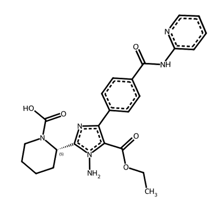 CCOC(=O)c1c(-c2ccc(C(=O)Nc3ccccn3)cc2)nc([C@@H]2CCCCN2C(=O)O)n1N